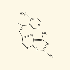 CC(=Cc1cnc2nc(N)nc(N)c2c1)c1ccccc1C(=O)O